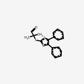 CC(C)(C=O)Sc1nc(-c2ccccc2)c(-c2ccccc2)s1